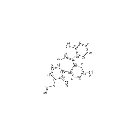 C=CCc1nnc2n(c1=O)-c1ccc(Cl)cc1C(c1ccccc1Cl)=NC2